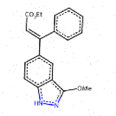 CCOC(=O)/C=C(\c1ccccc1)c1ccc2[nH]nc(OC)c2c1